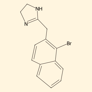 Brc1c(CC2=NCCN2)ccc2ccccc12